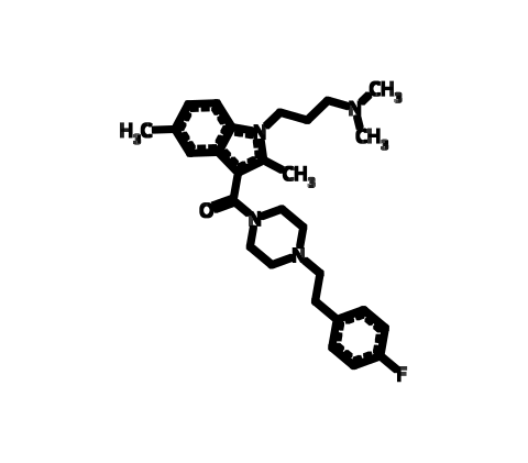 Cc1ccc2c(c1)c(C(=O)N1CCN(CCc3ccc(F)cc3)CC1)c(C)n2CCCN(C)C